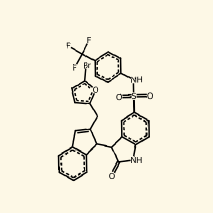 O=C1Nc2ccc(S(=O)(=O)Nc3ccc(C(F)(F)F)cc3)cc2C1C1C(Cc2ccc(Br)o2)=Cc2ccccc21